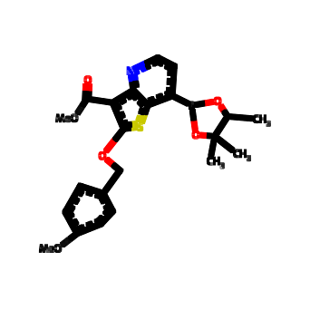 COC(=O)c1c(OCc2ccc(OC)cc2)sc2c(B3OC(C)C(C)(C)O3)ccnc12